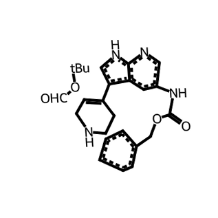 CC(C)(C)OC=O.O=C(Nc1cnc2[nH]cc(C3=CCNCC3)c2c1)OCc1ccccc1